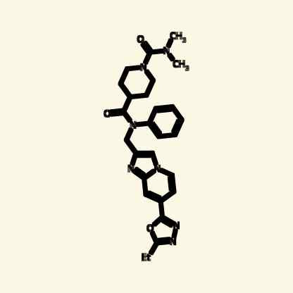 CCc1nnc(-c2ccn3cc(CN(C(=O)C4CCN(C(=O)N(C)C)CC4)c4ccccc4)nc3c2)o1